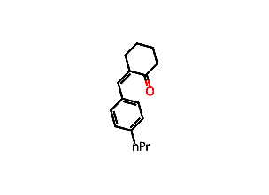 CCCc1ccc(/C=C2/CCCCC2=O)cc1